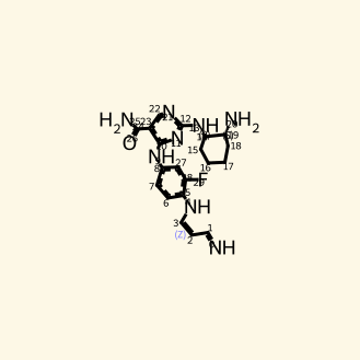 N=C/C=C\Nc1ccc(Nc2nc(N[C@@H]3CCCC[C@@H]3N)ncc2C(N)=O)cc1F